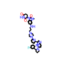 Cn1c(=O)n(C2CCC(=O)NC2=O)c2ccc(NCCCN3CCN(c4cccc(-c5cnc6ccc(N7CCCC7c7cccc(F)c7)nn56)n4)CC3)cc21